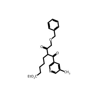 CCOC(=O)CCCCC(C(=O)COCc1ccccc1)C(=O)c1cncc(C)c1